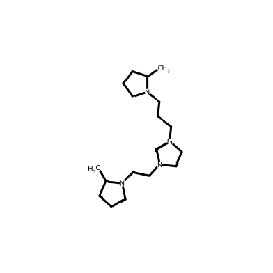 CC1CCCN1CCCN1CCN(CCN2CCCC2C)C1